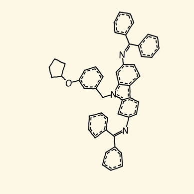 c1ccc(C(=Nc2ccc3c4ccc(N=C(c5ccccc5)c5ccccc5)cc4n(Cc4cccc(OC5CCCC5)c4)c3c2)c2ccccc2)cc1